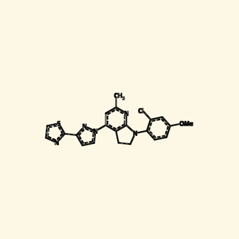 COc1ccc(N2CCc3c(-n4ccc(-c5nccs5)n4)cc(C)nc32)c(Cl)c1